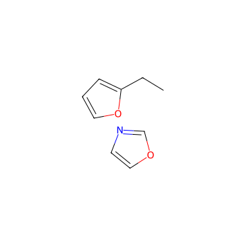 CCc1ccco1.c1cocn1